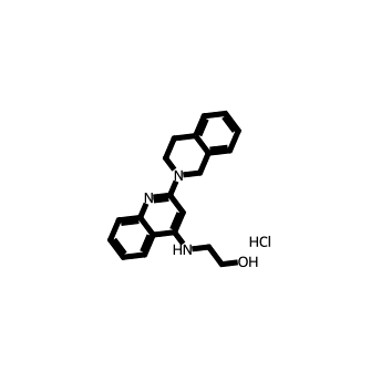 Cl.OCCNc1cc(N2CCc3ccccc3C2)nc2ccccc12